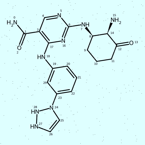 NC(=O)c1cnc(N[C@@H]2CCCC(=O)[C@@H]2N)nc1Nc1cccc(N2C=CNN2)c1